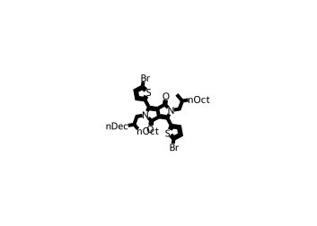 CCCCCCCCCCC(CCCCCCCC)CN1C(=O)C2=C(c3ccc(Br)s3)N(CC(C)CCCCCCCC)C(=O)C2=C1c1ccc(Br)s1